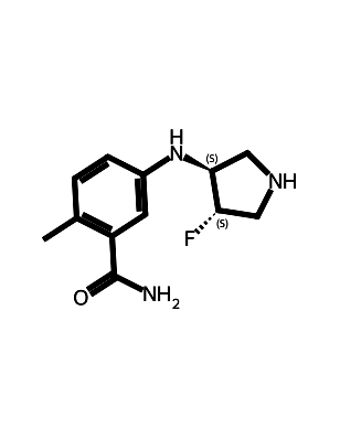 Cc1ccc(N[C@H]2CNC[C@@H]2F)cc1C(N)=O